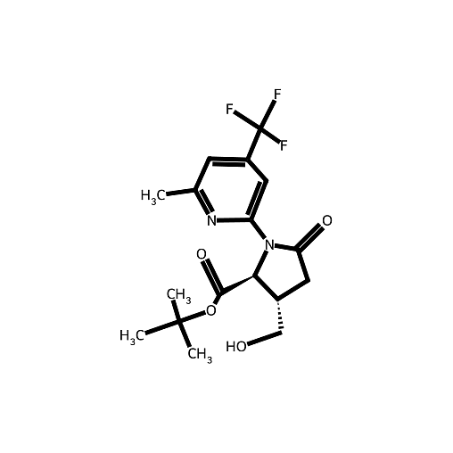 Cc1cc(C(F)(F)F)cc(N2C(=O)C[C@H](CO)[C@H]2C(=O)OC(C)(C)C)n1